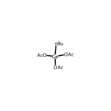 CCC[CH2][Ge]([O]C(C)=O)([O]C(C)=O)[O]C(C)=O